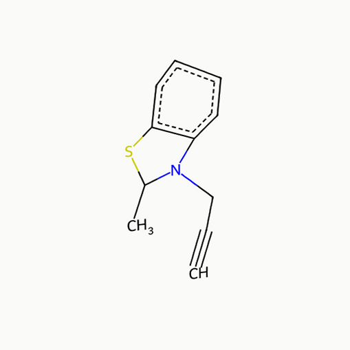 C#CCN1c2ccccc2SC1C